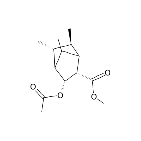 COC(=O)[C@H]1C2C(C)C([C@H]1OC(C)=O)[C@H](C)[C@H]2C